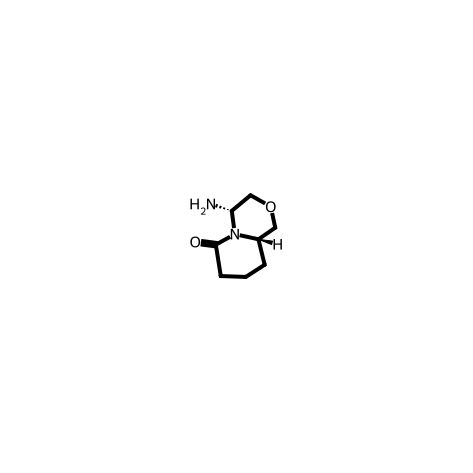 N[C@@H]1COC[C@@H]2CCCC(=O)N21